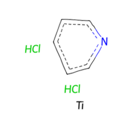 Cl.Cl.[Ti].c1ccncc1